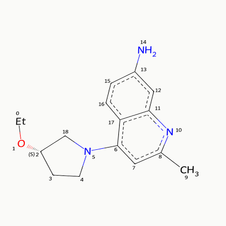 CCO[C@H]1CCN(c2cc(C)nc3cc(N)ccc23)C1